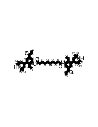 C=CC(=O)c1cc(OC(=O)CCCCCCCCC(=O)Oc2cc(C(=O)C=C)cc(C3CC(C)(C)NC(C)(C)C3)c2CC)c(CC)c(C2CC(C)(C)NC(C)(C)C2)c1